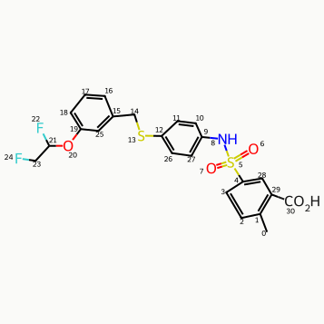 Cc1ccc(S(=O)(=O)Nc2ccc(SCc3cccc(OC(F)CF)c3)cc2)cc1C(=O)O